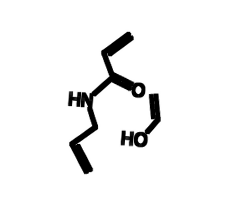 C=CCNC(=O)C=C.C=CO